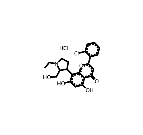 CCN1CCC(c2c(O)cc(O)c3c(=O)cc(-c4ccccc4Cl)oc23)C1CO.Cl